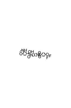 O=C([C@H](O)c1ccc2c(c1)NCCO2)N1CC2=C(C1)CN(S(=O)(=O)c1ccc(OC(F)F)cc1)C2